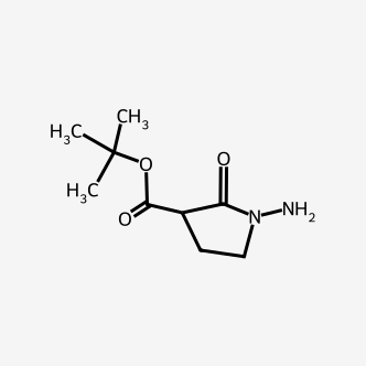 CC(C)(C)OC(=O)C1CCN(N)C1=O